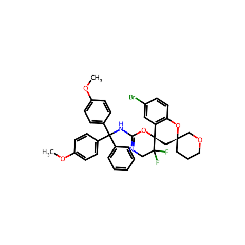 COc1ccc(C(NC2=NCC(F)(F)[C@]3(C[C@@]4(CCCOC4)Oc4ccc(Br)cc43)O2)(c2ccccc2)c2ccc(OC)cc2)cc1